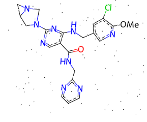 COc1ncc(CNc2nc(N3CC4CN4C3)ncc2C(=O)NCc2ncccn2)cc1Cl